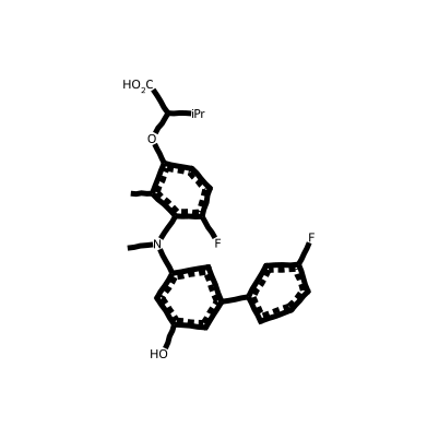 Cc1c(OC(C(=O)O)C(C)C)ccc(F)c1N(C)c1cc(O)cc(-c2cccc(F)c2)c1